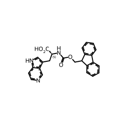 O=C(N[C@@H](Cc1c[nH]c2ccncc12)C(=O)O)OCC1c2ccccc2-c2ccccc21